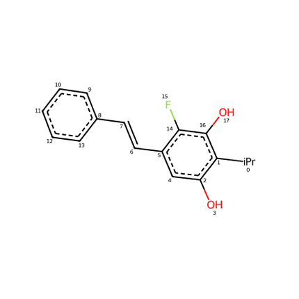 CC(C)c1c(O)cc(/C=C/c2ccccc2)c(F)c1O